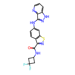 O=C(NC1CC(F)(F)C1)c1nsc2cc(Nc3n[nH]c4cccnc34)ccc12